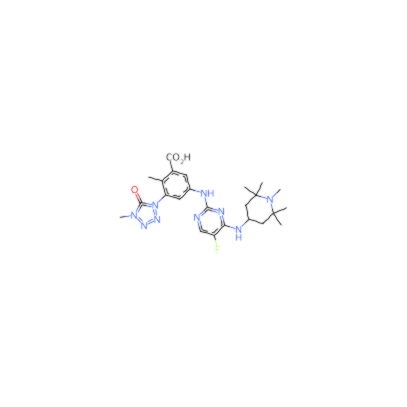 Cc1c(C(=O)O)cc(Nc2ncc(F)c(NC3CC(C)(C)N(C)C(C)(C)C3)n2)cc1-n1nnn(C)c1=O